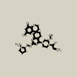 C=CC(=O)N1CCN(c2nc(OC[C@@H]3CCCN3C)nc3c2CCC2(CCOc4c(Cl)cc(Cl)cc42)C3)C[C@@H]1CC#N